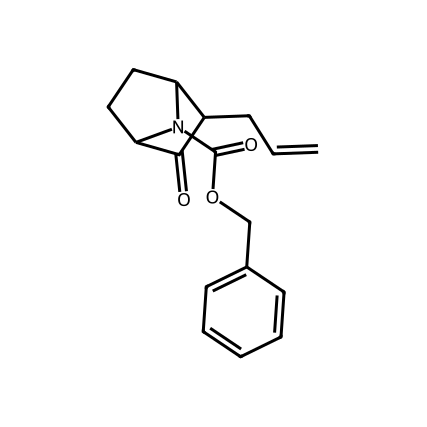 C=CCC1C(=O)C2CCC1N2C(=O)OCc1ccccc1